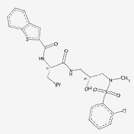 CC(C)C[C@H](NC(=O)c1cc2ccccc2s1)C(=O)NC[C@@H](O)CN(C)S(=O)(=O)c1ccccc1Cl